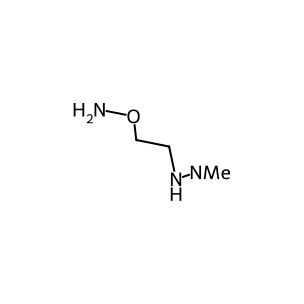 CNNCCON